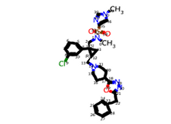 CN(C[C@@]1(c2cccc(Cl)c2)C[C@H]1CN1CCC(c2nnc(Cc3ccccc3)o2)CC1)S(=O)(=O)c1cn(C)cn1